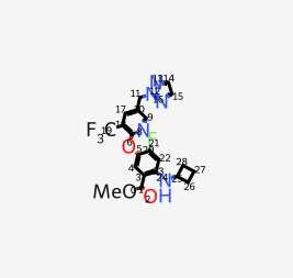 COC(=O)c1cc(Oc2ncc(Cn3nccn3)cc2C(F)(F)F)c(F)cc1NC1CCC1